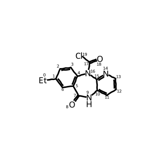 CCc1ccc2c(c1)C(=O)Nc1cccnc1N2C(=O)Cl